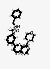 O=S(=O)(NCc1ccccc1)c1cccc(-c2ccc3ncnc(N4CCOCC4)c3n2)c1